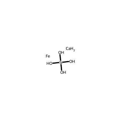 O[Si](O)(O)O.[CaH2].[Fe]